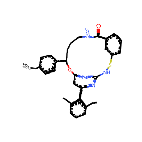 Cc1cccc(C)c1-c1cc2nc(n1)NSc1cccc(c1)C(=O)NCCCC(c1ccc(C(C)(C)C)cc1)O2